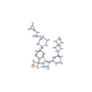 c1cc(C2(n3cc(-c4cncc(N5CC6(COC6)C5)n4)nn3)COC2)ncc1N1CCC[C@@H](NCC2CC2)C1